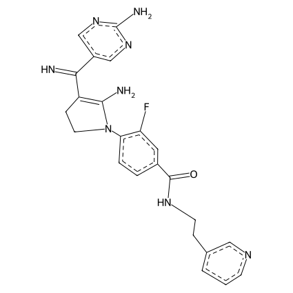 N=C(C1=C(N)N(c2ccc(C(=O)NCCc3cccnc3)cc2F)CC1)c1cnc(N)nc1